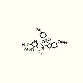 COc1ccc2nc([S+]([O-])Cc3ncc(C)c(OC)c3C)n(S(=O)(=O)c3ccc(Br)cc3)c2c1